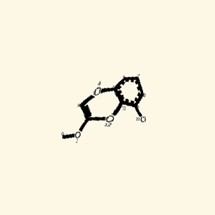 COC1=[C]Oc2cccc(Cl)c2O1